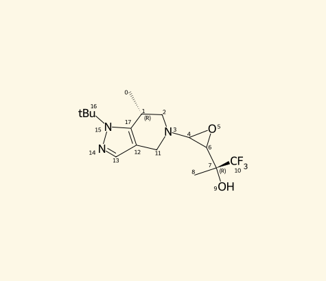 C[C@@H]1CN(C2OC2[C@@](C)(O)C(F)(F)F)Cc2cnn(C(C)(C)C)c21